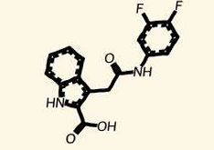 O=C(Cc1c(C(=O)O)[nH]c2ccccc12)Nc1ccc(F)c(F)c1